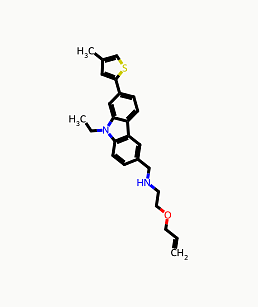 C=CCOCCNCc1ccc2c(c1)c1ccc(-c3cc(C)cs3)cc1n2CC